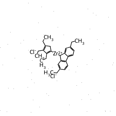 CCC1=C(CC)C(CC)=[C]([Zr+2][CH]2c3cc(CC)ccc3-c3ccc(CC)cc32)C1.[Cl-].[Cl-]